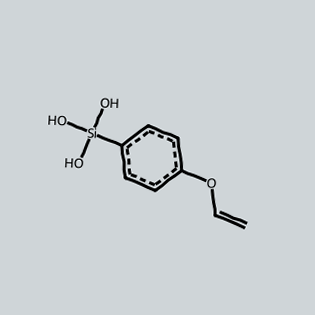 C=COc1ccc([Si](O)(O)O)cc1